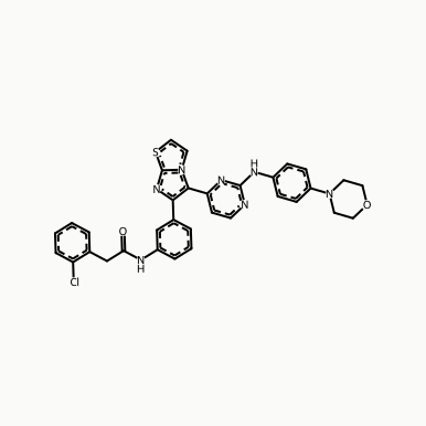 O=C(Cc1ccccc1Cl)Nc1cccc(-c2nc3sccn3c2-c2ccnc(Nc3ccc(N4CCOCC4)cc3)n2)c1